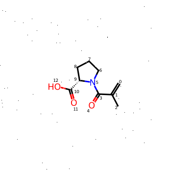 C=C(C)C(=O)N1CCC[C@H]1C(=O)O